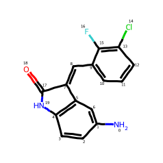 Nc1ccc2c(c1)C(=Cc1cccc(Cl)c1F)C(=O)N2